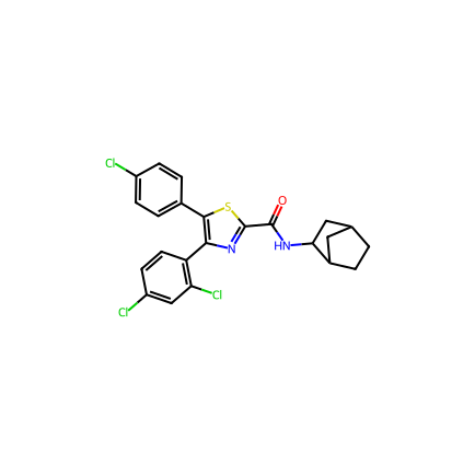 O=C(NC1CC2CCC1C2)c1nc(-c2ccc(Cl)cc2Cl)c(-c2ccc(Cl)cc2)s1